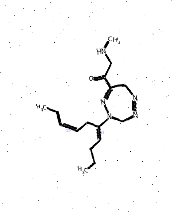 CC/C=C\C/C(=C\CCC)N1CN=NCC(C(=O)CNC)=N1